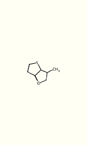 CC1COC2CCSC12